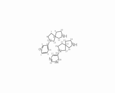 c1cncc(N2CCC3(CCNC3)C2)c1.c1ncc(N2CCC3(CCNC3)C2)cn1